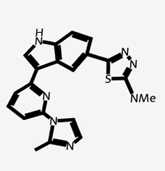 CNc1nnc(-c2ccc3[nH]cc(-c4cccc(-n5ccnc5C)n4)c3c2)s1